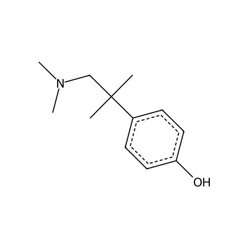 CN(C)CC(C)(C)c1ccc(O)cc1